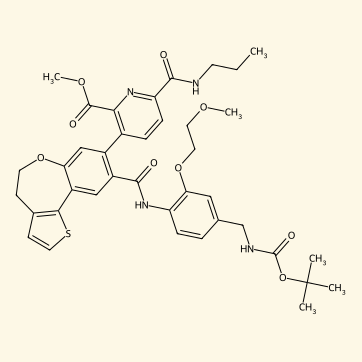 CCCNC(=O)c1ccc(-c2cc3c(cc2C(=O)Nc2ccc(CNC(=O)OC(C)(C)C)cc2OCCOC)-c2sccc2CCO3)c(C(=O)OC)n1